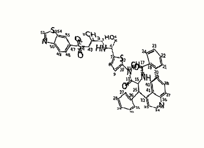 CC(CNC(CO)c1ccc(N(C)C(=O)C(NC(=O)c2ccccc2)C(c2ccccc2)c2ccnc3ccccc23)s1)CS(=O)(=O)c1ccc2ncsc2c1